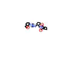 O=C1C2C3CCC(C3)C2C(=O)N1CC1CCCCC1CN1CCN(c2cccc3ccoc23)CC1